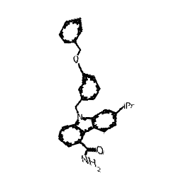 CC(C)c1c[c]c2c3c(C(N)=O)cccc3n(Cc3cccc(OCc4ccccc4)c3)c2c1